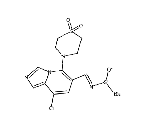 CC(C)(C)[S+]([O-])N=Cc1cc(Cl)c2cncn2c1N1CCS(=O)(=O)CC1